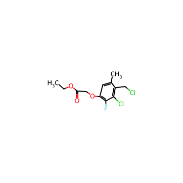 CCOC(=O)COc1cc(C)c(CCl)c(Cl)c1F